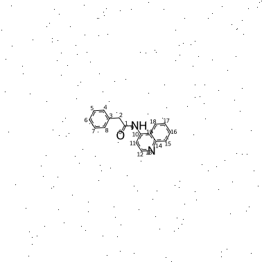 O=C(Cc1ccccc1)Nc1ccnc2ccccc12